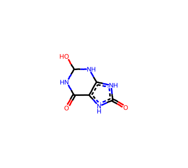 O=C1NC(O)Nc2[nH]c(=O)[nH]c21